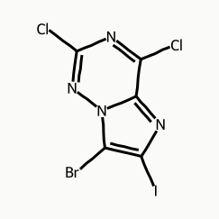 Clc1nc(Cl)c2nc(I)c(Br)n2n1